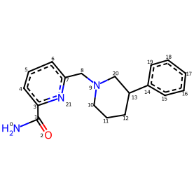 NC(=O)c1cccc(CN2CCCC(c3ccccc3)C2)n1